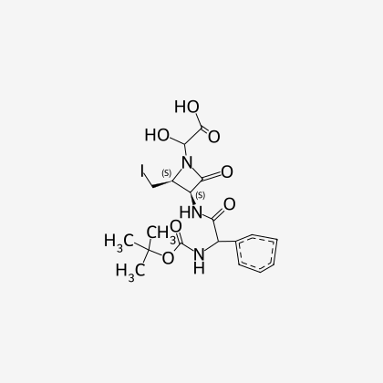 CC(C)(C)OC(=O)NC(C(=O)N[C@@H]1C(=O)N(C(O)C(=O)O)[C@@H]1CI)c1ccccc1